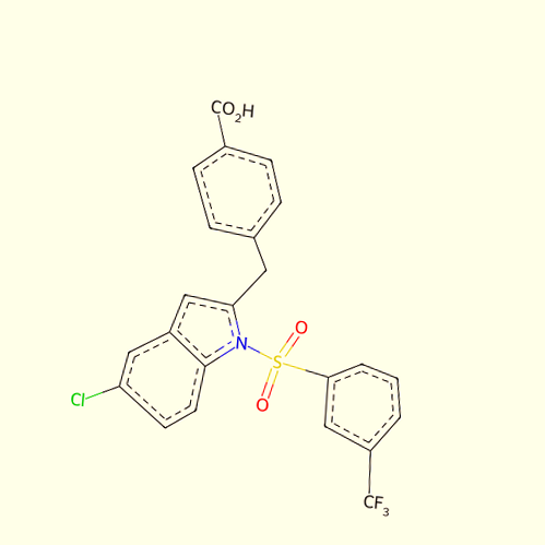 O=C(O)c1ccc(Cc2cc3cc(Cl)ccc3n2S(=O)(=O)c2cccc(C(F)(F)F)c2)cc1